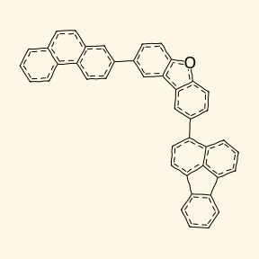 c1ccc2c(c1)-c1cccc3c(-c4ccc5oc6ccc(-c7ccc8c(ccc9ccccc98)c7)cc6c5c4)ccc-2c13